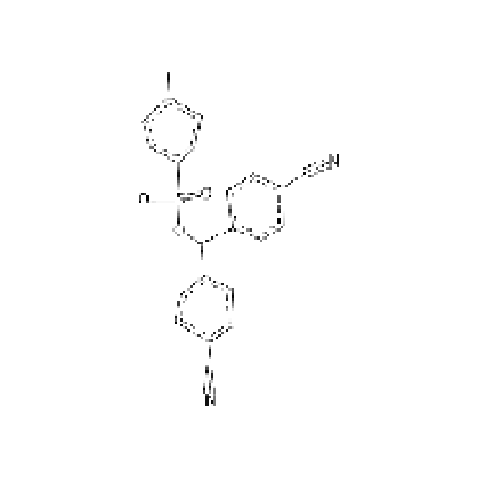 Cc1ccc(S(=O)(=O)OC(c2ccc(C#N)cc2)c2ccc(C#N)cc2)cc1